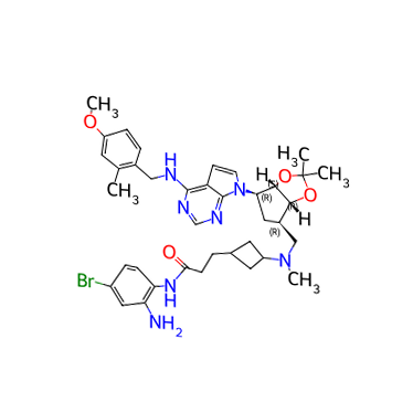 COc1ccc(CNc2ncnc3c2ccn3[C@@H]2C[C@H](CN(C)C3CC(CCC(=O)Nc4ccc(Br)cc4N)C3)[C@H]3OC(C)(C)O[C@H]32)c(C)c1